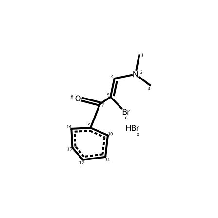 Br.CN(C)C=C(Br)C(=O)c1ccccc1